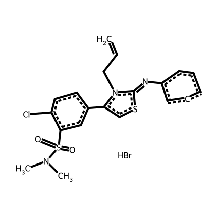 Br.C=CCn1c(-c2ccc(Cl)c(S(=O)(=O)N(C)C)c2)csc1=Nc1ccccc1